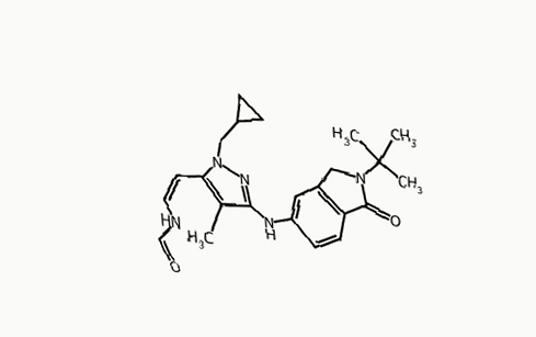 Cc1c(Nc2ccc3c(c2)CN(C(C)(C)C)C3=O)nn(CC2CC2)c1/C=C\NC=O